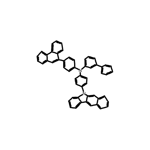 c1ccc(-c2cccc(N(c3ccc(-c4cc5ccccc5c5ccccc45)cc3)c3ccc(-n4c5ccccc5c5cc6ccccc6cc54)cc3)c2)cc1